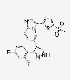 CS(=O)(=O)c1ccc(-c2cnc3ccc(-c4c[nH]nc4-c4ccc(F)cc4F)cn23)s1